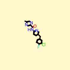 Cc1cnc(C(=O)Nc2ccc(Cc3ccc(F)c(Cl)c3)cn2)cn1